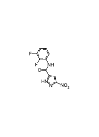 O=C(Nc1cccc(F)c1F)c1cc([N+](=O)[O-])n[nH]1